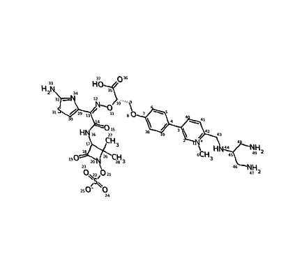 C[n+]1cc(-c2ccc(OC[C@H](O/N=C(\C(=O)NC3C(=O)N(OS(=O)(=O)[O-])C3(C)C)c3csc(N)n3)C(=O)O)cc2)ccc1CNC(CN)CN